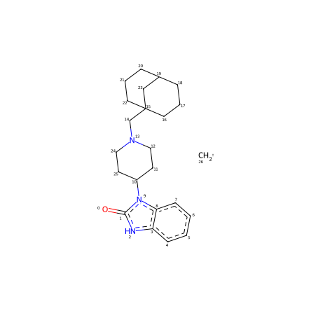 O=c1[nH]c2ccccc2n1C1CCN(CC23CCCC(CCC2)C3)CC1.[CH2]